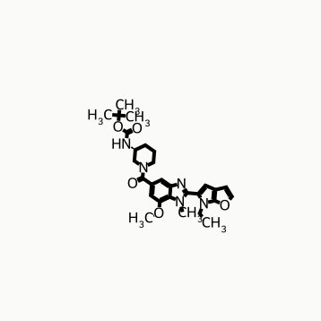 CCn1c(-c2nc3cc(C(=O)N4CCC[C@@H](NC(=O)OC(C)(C)C)C4)cc(OC)c3n2C)cc2ccoc21